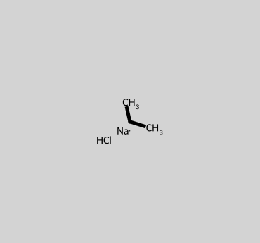 CCC.Cl.[Na]